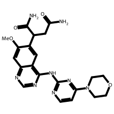 COc1cc2ncnc(Nc3nccc(N4CCOCC4)n3)c2cc1C(CC(N)=O)C(N)=O